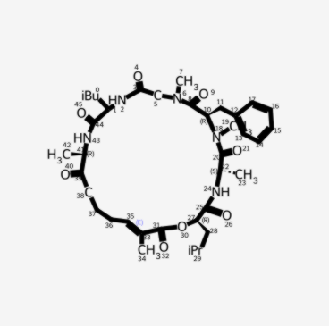 CCC(C)C1NC(=O)CN(C)C(=O)[C@@H](Cc2ccccc2)N(C)C(=O)[C@H](C)NC(=O)[C@@H](CC(C)C)OC(=O)/C(C)=C/CCCC(=O)[C@@H](C)NC1=O